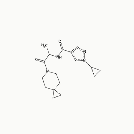 CC(NC(=O)c1cnn(C2CC2)c1)C(=O)N1CCC2(CC1)CC2